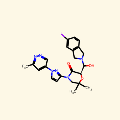 CC1(C)CN(c2ccn(-c3cnnc(C(F)(F)F)c3)n2)C(=O)[C@@H](C(O)N2Cc3ccc(I)cc3C2)O1